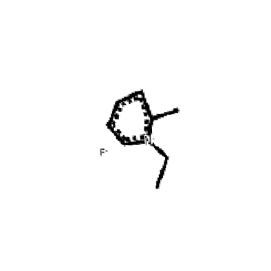 CC[n+]1ccccc1C.[F-]